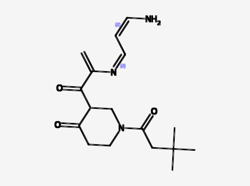 C=C(/N=C\C=C/N)C(=O)C1CN(C(=O)CC(C)(C)C)CCC1=O